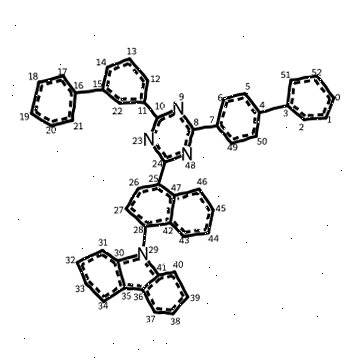 c1ccc(-c2ccc(-c3nc(-c4cccc(-c5ccccc5)c4)nc(-c4ccc(-n5c6ccccc6c6ccccc65)c5ccccc45)n3)cc2)cc1